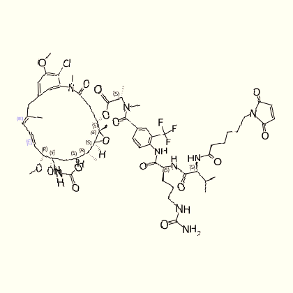 COc1cc2cc(c1Cl)N(C)C(=O)C[C@H](OC(=O)[C@H](C)N(C)C(=O)c1ccc(NC(=O)[C@H](CCCNC(N)=O)NC(=O)[C@@H](NC(=O)CCCCCN3C(=O)C=CC3=O)C(C)C)c(C(F)(F)F)c1)[C@]1(C)O[C@H]1[C@H](C)[C@@H]1C[C@@](O)(NC(=O)O1)[C@H](OC)/C=C/C=C(\C)C2